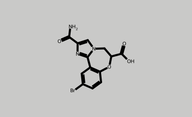 NC(=O)c1cn2c(n1)-c1cc(Br)ccc1OC(C(=O)O)C2